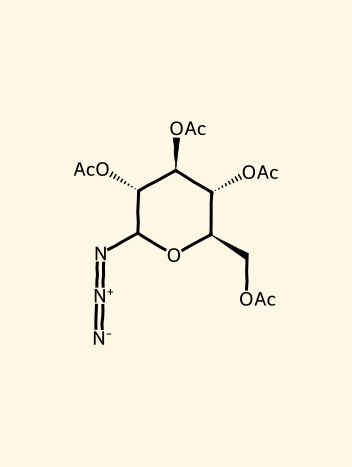 CC(=O)OC[C@H]1OC(N=[N+]=[N-])[C@H](OC(C)=O)[C@@H](OC(C)=O)[C@@H]1OC(C)=O